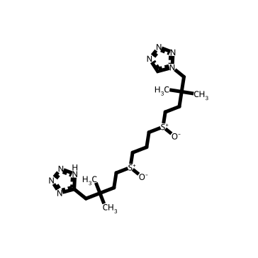 CC(C)(CC[S+]([O-])CCC[S+]([O-])CCC(C)(C)Cn1cnnn1)Cc1nnn[nH]1